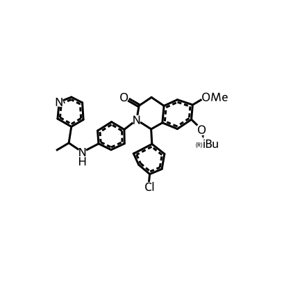 CC[C@@H](C)Oc1cc2c(cc1OC)CC(=O)N(c1ccc(NC(C)c3cccnc3)cc1)C2c1ccc(Cl)cc1